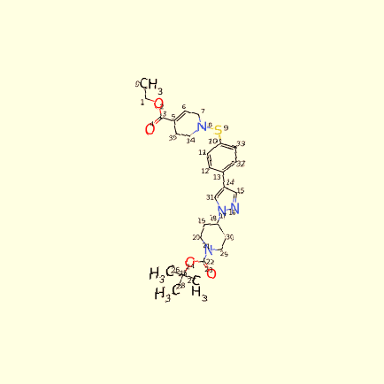 CCOC(=O)C1=CCN(Sc2ccc(-c3cnn(C4CCN(C(=O)OC(C)(C)C)CC4)c3)cc2)CC1